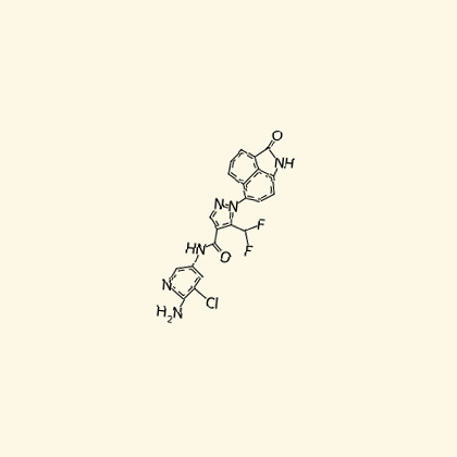 Nc1ncc(NC(=O)c2cnn(-c3ccc4c5c(cccc35)C(=O)N4)c2C(F)F)cc1Cl